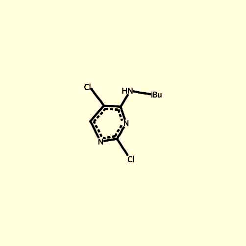 CCC(C)Nc1nc(Cl)ncc1Cl